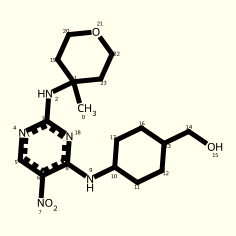 CC1(Nc2ncc([N+](=O)[O-])c(NC3CCC(CO)CC3)n2)CCOCC1